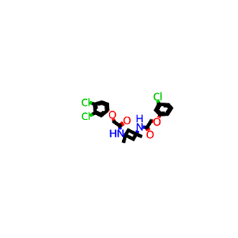 CC1(NC(=O)COc2cccc(Cl)c2)CC(C)(NC(=O)COc2ccc(Cl)c(Cl)c2)C1